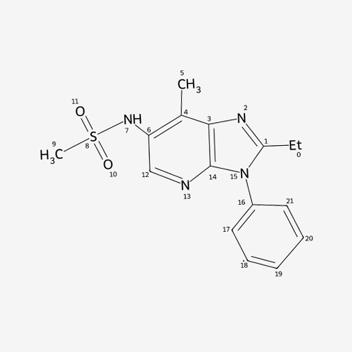 CCc1nc2c(C)c(NS(C)(=O)=O)cnc2n1-c1c[c]ccc1